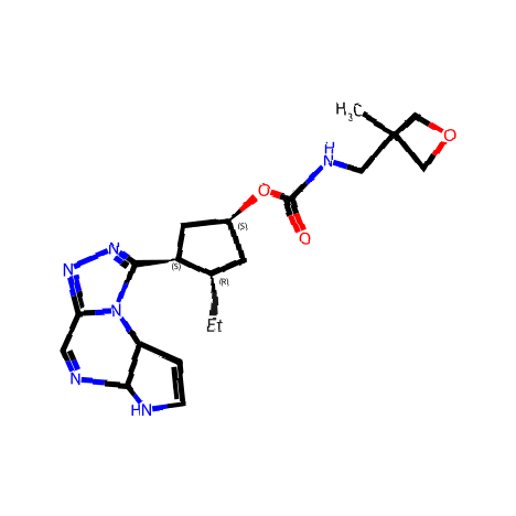 CC[C@@H]1C[C@H](OC(=O)NCC2(C)COC2)C[C@@H]1c1nnc2n1C1C=CNC1N=C2